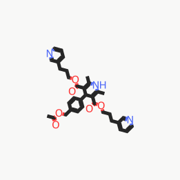 CC(=O)OCc1ccc(C2C(C(=O)OCCCc3cccnc3)=C(C)NC(C)=C2C(=O)OCCCc2cccnc2)cc1